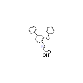 O=C(O)/C=C/c1ccc(-c2ccccc2)cc1Oc1ccccc1